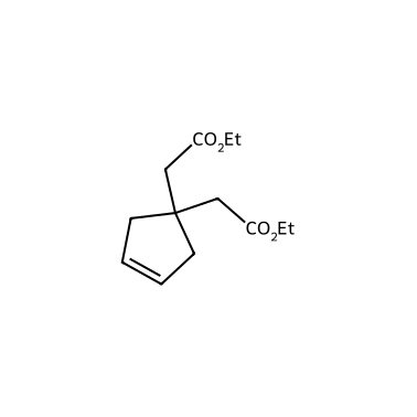 CCOC(=O)CC1(CC(=O)OCC)CC=CC1